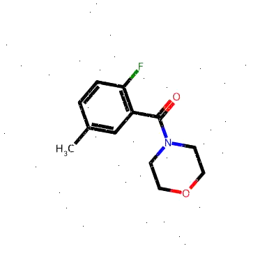 Cc1ccc(F)c(C(=O)N2CCOCC2)c1